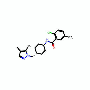 Cc1cnn(C[C@H]2CC[C@H](NC(=O)c3cc(C(F)(F)F)ccc3Cl)CC2)c1C(C)C